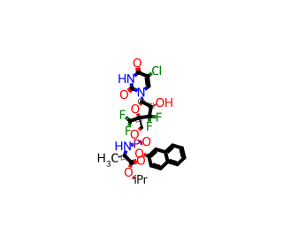 CC(C)OC(=O)[C@H](C)NP(=O)(OC[C@@]1(C(F)F)O[C@@H](n2cc(Cl)c(=O)[nH]c2=O)[C@H](O)C1(F)F)Oc1ccc2ccccc2c1